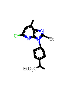 CCOC(=O)C(C)c1ccc(-n2c(CC)nc3c(C)cc(Cl)nc32)cc1